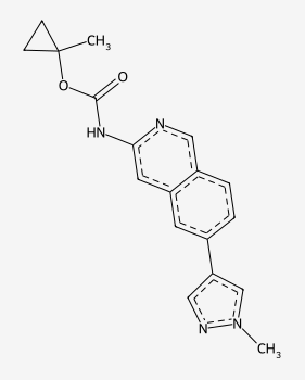 Cn1cc(-c2ccc3cnc(NC(=O)OC4(C)CC4)cc3c2)cn1